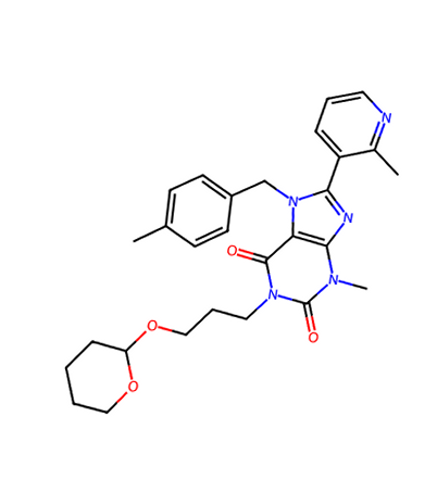 Cc1ccc(Cn2c(-c3cccnc3C)nc3c2c(=O)n(CCCOC2CCCCO2)c(=O)n3C)cc1